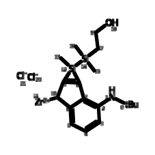 CC(C)(C)Nc1cccc2c1C1=C([CH]2[Zr+2])[Si]1(C)[Si](C)(C)CCO.[Cl-].[Cl-]